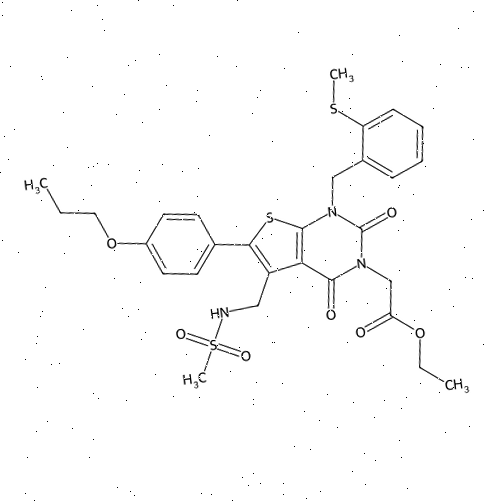 CCCOc1ccc(-c2sc3c(c2CNS(C)(=O)=O)c(=O)n(CC(=O)OCC)c(=O)n3Cc2ccccc2SC)cc1